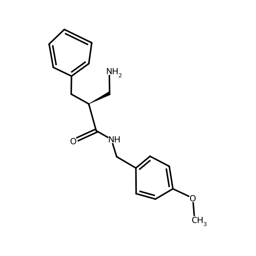 COc1ccc(CNC(=O)[C@H](CN)Cc2ccccc2)cc1